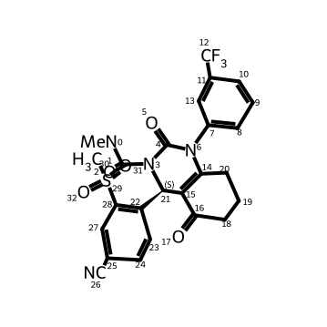 CNC(=O)N1C(=O)N(c2cccc(C(F)(F)F)c2)C2=C(C(=O)CCC2)[C@H]1c1ccc(C#N)cc1S(C)(=O)=O